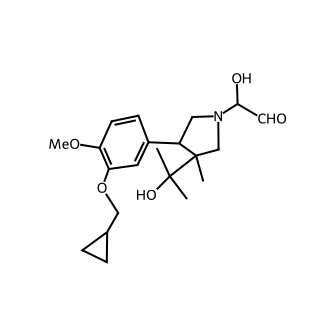 COc1ccc(C2CN(C(O)C=O)CC2(C)C(C)(C)O)cc1OCC1CC1